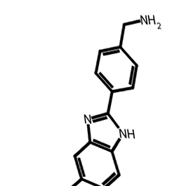 NCc1ccc(-c2nc3cc(Cl)ccc3[nH]2)cc1